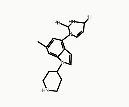 [2H]C1C=CN(c2cc(C)cc3c2ccn3C2CCNCC2)C([2H])N1